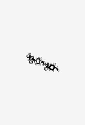 CCc1ccc(C(=O)NCCN2CCN(C(=O)OC(C)(C)C)CC2)cc1